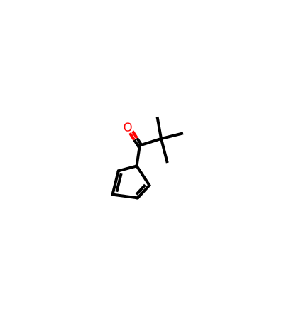 CC(C)(C)C(=O)C1C=CC=C1